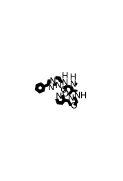 CN/C(C(=O)Nc1ccn2cc(-c3ccccc3)nc2n1)=C(\C=N)C(=O)N1CCOCC1c1cccnc1